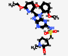 CCOC1=NC(c2nc3ncc(NS(=O)(=O)C[C@H]4CCN(C)C(=O)C4)nc3n2-c2c(O)cccc2OC)=C=C=C1